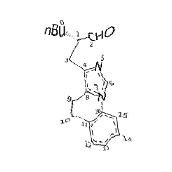 CCCC[C@H](C=O)Cc1ncn2c1CCc1ccccc1-2